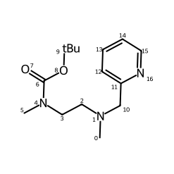 CN(CCN(C)C(=O)OC(C)(C)C)Cc1ccccn1